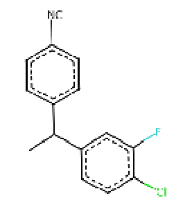 [C-]#[N+]c1ccc(C(C)c2ccc(Cl)c(F)c2)cc1